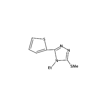 CCn1c(SC)nnc1-c1cccs1